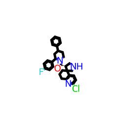 O=C([C@@H]1CNCC12CCCc1nc(Cl)ccc12)N1CCC(c2ccccc2)CC1c1ccc(F)cc1